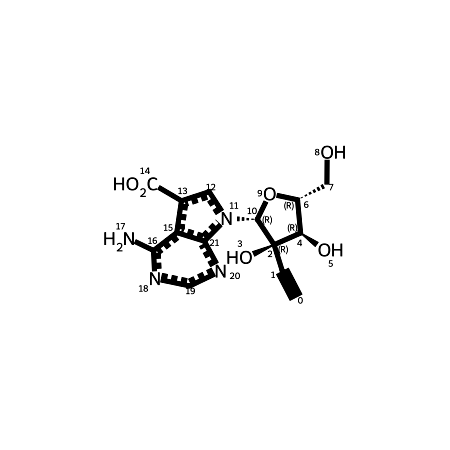 C#C[C@@]1(O)[C@H](O)[C@@H](CO)O[C@H]1n1cc(C(=O)O)c2c(N)ncnc21